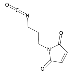 O=C=NCCCN1C(=O)C=CC1=O